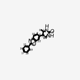 CC1NC(=O)NN=C1c1ccc2nc(-c3ccccc3)oc2c1